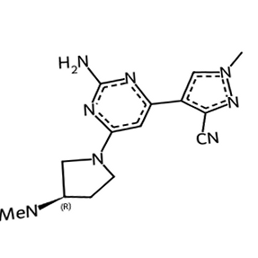 CN[C@@H]1CCN(c2cc(-c3cn(C)nc3C#N)nc(N)n2)C1